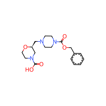 O=C(O)N1CCO[C@@H](CN2CCN(C(=O)OCc3ccccc3)CC2)C1